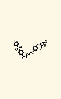 C/C(=N/OCCOc1ccc(CC2SC(=O)NC2=O)cc1)c1ccc(S(=O)(=O)c2ccncc2)cc1